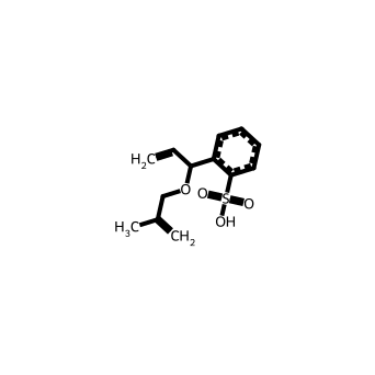 C=CC(OCC(=C)C)c1ccccc1S(=O)(=O)O